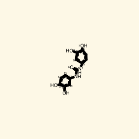 O=C(Nc1ccc(O)c(O)c1)Nc1ccc(O)c(O)c1